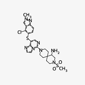 Cn1cc2c(Cl)c(Sc3cnc(N4CCC5(CC4)CCN(S(C)(=O)=O)CC5N)n4ccnc34)ccc2n1